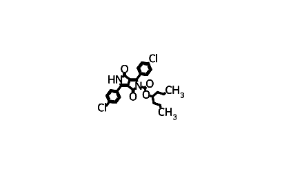 CCCC(CCC)OC(=O)N1C(=O)C2=C(c3ccc(Cl)cc3)NC(=O)C2=C1c1ccc(Cl)cc1